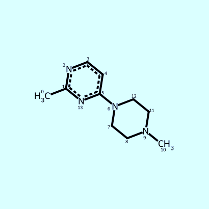 Cc1n[c]cc(N2CCN(C)CC2)n1